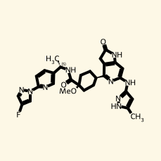 CO[C@]1(C(=O)N[C@@H](C)c2ccc(-n3cc(F)cn3)nc2)CC[C@H](c2nc(Nc3cc(C)[nH]n3)cc3c2CC(=O)N3)CC1